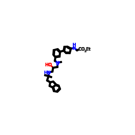 CCOC(=O)CNc1ccc(-c2cccc(CN(C)C[C@H](O)CNC(C)(C)CC3Cc4ccccc4C3)c2)cc1